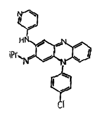 CC(C)N=c1cc2n(-c3ccc(Cl)cc3)c3ccccc3nc-2cc1Nc1cccnc1